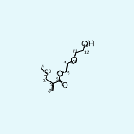 C=C(CSC)C(=O)OCCOCCO